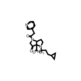 NC(=O)C12C(=O)CN(C(=O)Cc3cccnc3)C1CCN2C(=O)[CH]CC1CC1